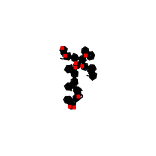 c1cc(-c2ccc3sc4ccccc4c3c2)cc(-c2cc(-n3c4ccccc4c4cc(-c5ccc6c(c5)c5ccccc5n6-c5ccc6sc7ccc(-n8c9ccccc9c9ccccc98)cc7c6c5)ccc43)ccc2-c2ccc(-n3c4ccccc4c4ccccc43)cc2-c2cccc(-c3cccc4c3sc3ccccc34)c2)c1